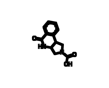 O=C1NC2CN(C(=O)O)CC2c2ccccc21